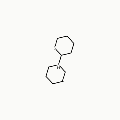 [CH]1CCC[SH](C2CCCCS2)C1